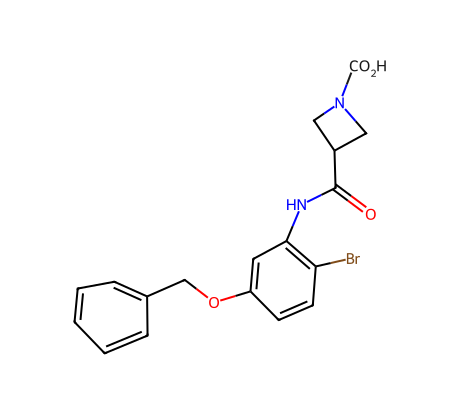 O=C(Nc1cc(OCc2ccccc2)ccc1Br)C1CN(C(=O)O)C1